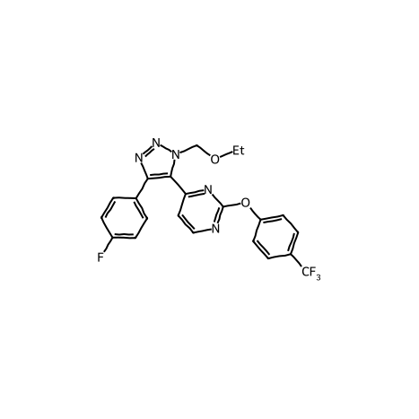 CCOCn1nnc(-c2ccc(F)cc2)c1-c1ccnc(Oc2ccc(C(F)(F)F)cc2)n1